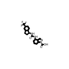 O=C(Nc1cccc2c1cnn2C(=O)O)NC1CCc2cc(C(F)(F)F)ccc21